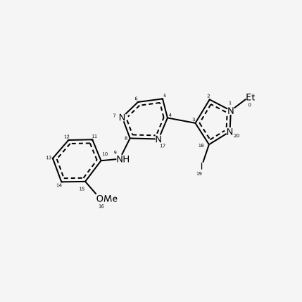 CCn1cc(-c2ccnc(Nc3ccccc3OC)n2)c(I)n1